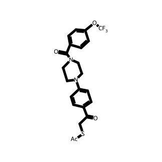 CC(=O)SCC(=O)c1ccc(N2CCN(C(=O)c3ccc(OC(F)(F)F)cc3)CC2)cc1